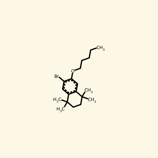 CCCCCOc1cc2c(cc1Br)C(C)(C)CCC2(C)C